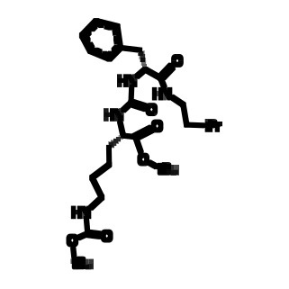 CC(C)CCNC(=O)[C@@H](Cc1ccccc1)NC(=O)N[C@@H](CCCCNC(=O)OC(C)(C)C)C(=O)OC(C)(C)C